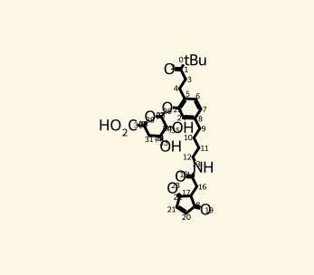 CC(C)(C)C(=O)CCc1ccc(CCCCNC(=O)CC2C(=O)C=CC2=O)cc1O[C@@H]1O[C@H](C(=O)O)C[C@H](O)[C@H]1O